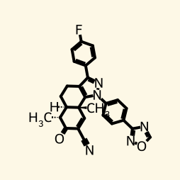 C[C@H]1C(=O)C(C#N)=C[C@@]2(C)c3c(c(-c4ccc(F)cc4)nn3-c3ccc(-c4ncon4)cc3)CC[C@H]12